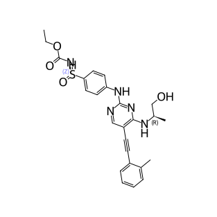 CCOC(=O)/N=[SH](=O)/c1ccc(Nc2ncc(C#Cc3ccccc3C)c(N[C@H](C)CO)n2)cc1